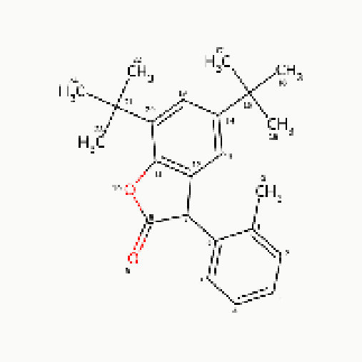 Cc1ccccc1C1C(=O)Oc2c1cc(C(C)(C)C)cc2C(C)(C)C